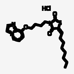 CCCCCCCC=C1SC(=O)N(CCCCOc2cccn3ccnc23)C1=O.Cl